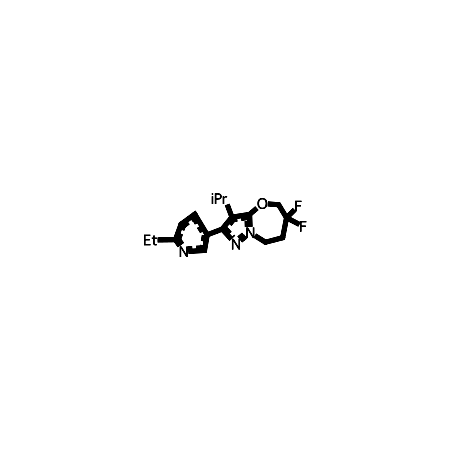 CCc1ccc(-c2nn3c(c2C(C)C)OCC(F)(F)CC3)cn1